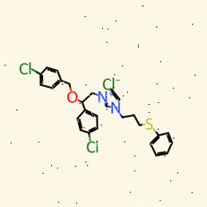 Clc1ccc(COC(C[n+]2ccn(CCCSc3ccccc3)c2)c2ccc(Cl)cc2)cc1.[Cl-]